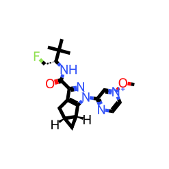 CO[n+]1ccnc(-n2nc(C(=O)N[C@H](CF)C(C)(C)C)c3c2[C@@H]2C[C@@H]2C3)c1